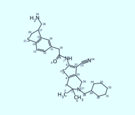 CC1(C)Cc2sc(NC(=O)Cc3ccc4c(c3)C(CN)CS4)c(C#N)c2CN1CC1CCCCC1